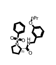 CCCOc1cccc(CNC(=O)[C@@H]2CCCN2S(=O)(=O)c2ccccc2)c1